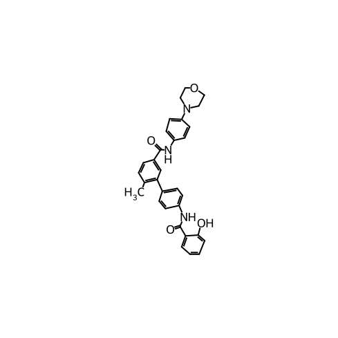 Cc1ccc(C(=O)Nc2ccc(N3CCOCC3)cc2)cc1-c1ccc(NC(=O)c2ccccc2O)cc1